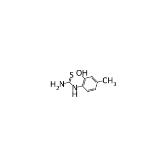 Cc1ccc(NC(N)=S)c(O)c1